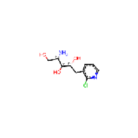 N[C@@H](CO)[C@H](O)[C@H](O)Cc1cccnc1Cl